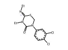 CC/N=C1\SCN(c2ccc(Cl)c(Cl)c2)C(=O)N1CC